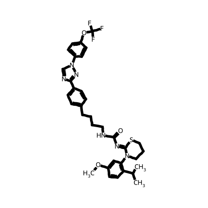 COc1ccc(C(C)C)c(N2CCCS/C2=N\C(=O)NCCCCc2ccc(-c3ncn(-c4ccc(OC(F)(F)F)cc4)n3)cc2)c1